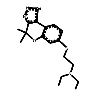 CCN(CC)CCSc1ccc2c(c1)OC(C)(C)c1nn[se]c1-2